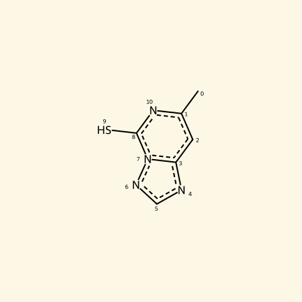 Cc1cc2ncnn2c(S)n1